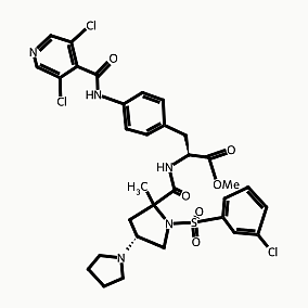 COC(=O)[C@H](Cc1ccc(NC(=O)c2c(Cl)cncc2Cl)cc1)NC(=O)C1(C)C[C@@H](N2CCCC2)CN1S(=O)(=O)c1cccc(Cl)c1